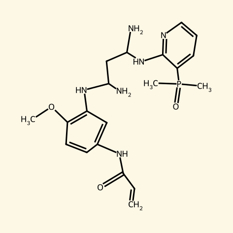 C=CC(=O)Nc1ccc(OC)c(NC(N)CC(N)Nc2ncccc2P(C)(C)=O)c1